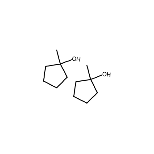 CC1(O)CCCC1.CC1(O)CCCC1